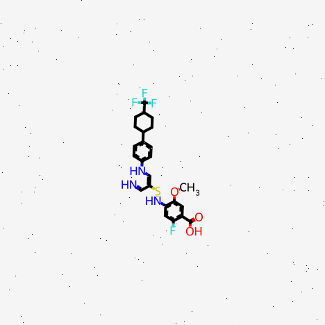 COc1cc(C(=O)O)c(F)cc1NS/C(C=N)=C/Nc1ccc(C2CCC(C(F)(F)F)CC2)cc1